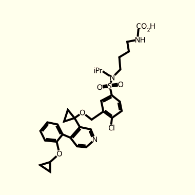 CC(C)N(CCCCNC(=O)O)S(=O)(=O)c1ccc(Cl)c(COC2(c3cnccc3-c3ccccc3OC3CC3)CC2)c1